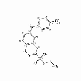 N#CCCS(=O)(=O)N1CCc2ccc(Oc3ccc(C(F)(F)F)cc3)cc2C1